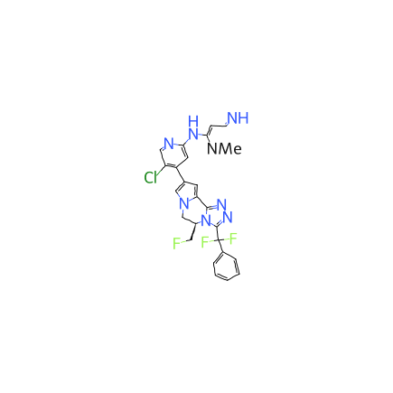 CN/C(=C\C=N)Nc1cc(-c2cc3n(c2)C[C@H](CF)n2c-3nnc2C(F)(F)c2ccccc2)c(Cl)cn1